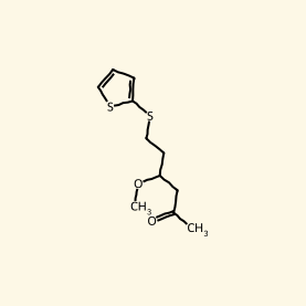 COC(CCSc1cccs1)CC(C)=O